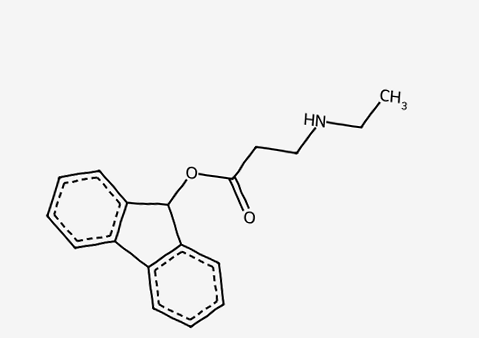 CCNCCC(=O)OC1c2ccccc2-c2ccccc21